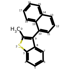 Cc1sc2ccccc2c1-c1cccc2ccccc12